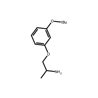 CC(N)COc1cccc(OC(C)(C)C)c1